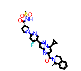 C[C@@H]1c2ccccc2CCN1C(=O)c1cc(C2CC2)n2nc(-c3cnc(N4CC[C@H](C(=O)NS(C)(=O)=O)C4)cc3F)cc2n1